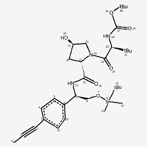 CC#Cc1ccc([C@H](CO[Si](C)(C)C(C)(C)C)NC(=O)[C@@H]2C[C@@H](O)CN2C(=O)[C@@H](NC(=O)OC(C)(C)C)C(C)(C)C)cc1